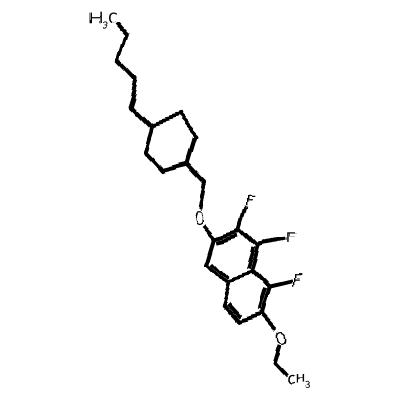 CCCCCC1CCC(COc2cc3ccc(OCC)c(F)c3c(F)c2F)CC1